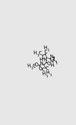 C=C1[C@H](C)CN(C(=O)[C@@H](NC(=O)OC)C(C)C)[C@@H]1c1ncc(I)[nH]1